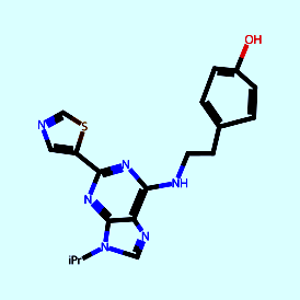 CC(C)n1cnc2c(NCCc3ccc(O)cc3)nc(-c3cncs3)nc21